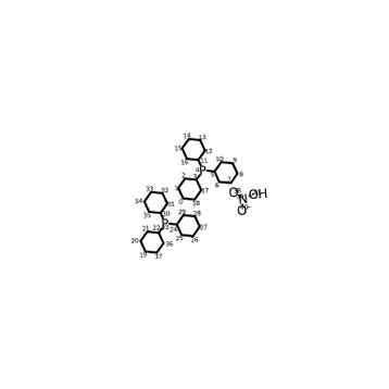 C1CCC(P(C2CCCCC2)C2CCCCC2)CC1.C1CCC(P(C2CCCCC2)C2CCCCC2)CC1.O=[N+]([O-])O